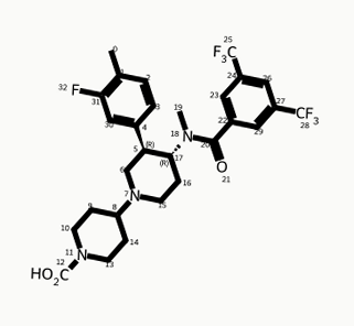 Cc1ccc([C@@H]2CN(C3CCN(C(=O)O)CC3)CC[C@H]2N(C)C(=O)c2cc(C(F)(F)F)cc(C(F)(F)F)c2)cc1F